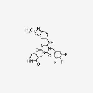 Cn1cc2cc(Nc3nc(=O)n(Cc4ccc[nH]c4=O)c(=O)n3Cc3cc(F)c(F)c(F)c3)ccc2n1